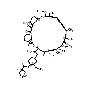 COC1C[C@@H]2CC[C@@H](C)[C@@](O)(O2)C(=O)C(=O)N2CCCC[C@H]2C(=O)O[C@H]([C@H](C)CC2CC[C@@H](OC(=O)C(C)(CO)CO)[C@H](OC)C2)CC(=O)[C@H](C)/C=C(\C)[C@@H](O)[C@@H](OC)C(=O)[C@H](C)C[C@H](C)/C=C/C=C/C=C/1C